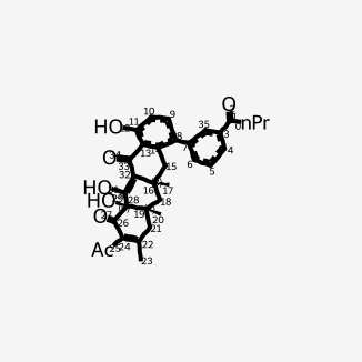 CCCC(=O)c1cccc(-c2ccc(O)c3c2C[C@]2(C)C[C@]4(C)CC(C)=C(C(C)=O)C(=O)[C@]4(O)C(O)=C2C3=O)c1